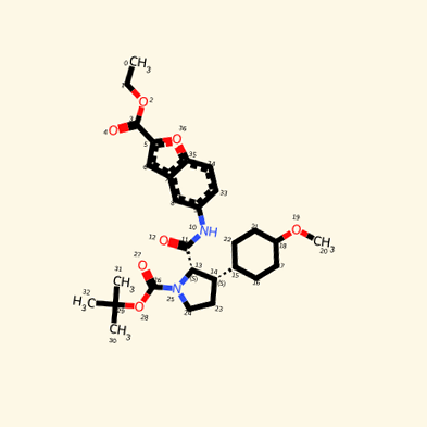 CCOC(=O)c1cc2cc(NC(=O)[C@@H]3[C@H](C4CCC(OC)CC4)CCN3C(=O)OC(C)(C)C)ccc2o1